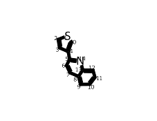 [c]1sccc1-c1ccc2ccccc2n1